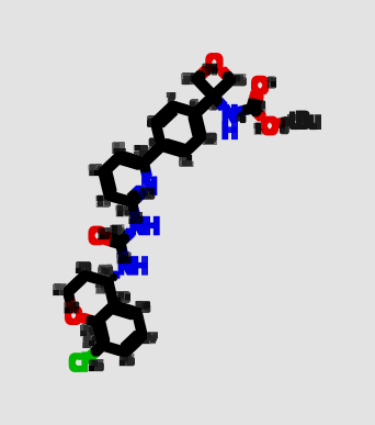 CC(C)(C)OC(=O)NC1(c2ccc(-c3cccc(NC(=O)N[C@H]4CCOc5c(Cl)cccc54)n3)cc2)COC1